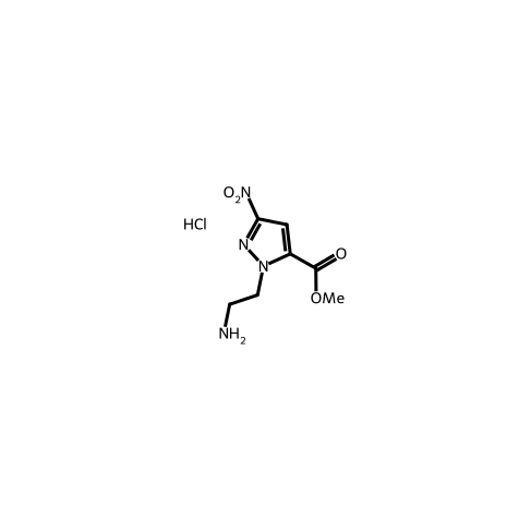 COC(=O)c1cc([N+](=O)[O-])nn1CCN.Cl